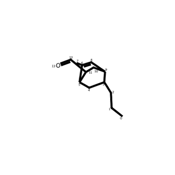 CCCC1CC2C(C)=CC1CC2C=O